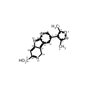 Cc1noc(C)c1-c1cnc2c(c1)=C1CN=C(C(=O)O)C=C1N=2